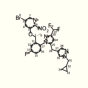 C[C@@H](Oc1cc(Br)cnc1[N+](=O)[O-])c1cc(F)ccc1-n1nc(C(F)F)cc1Cc1cnn(CC2CC2)c1